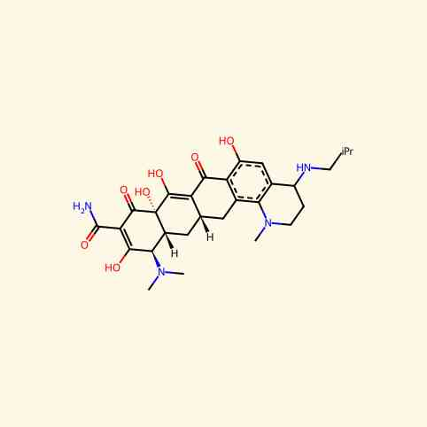 CC(C)CNC1CCN(C)c2c1cc(O)c1c2C[C@@H]2C[C@@H]3[C@@H](N(C)C)C(O)=C(C(N)=O)C(=O)[C@@]3(O)C(O)=C2C1=O